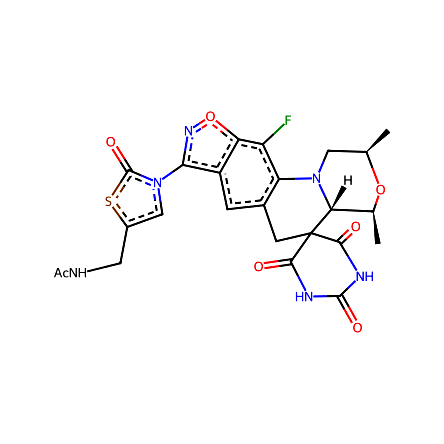 CC(=O)NCc1cn(-c2noc3c(F)c4c(cc23)CC2(C(=O)NC(=O)NC2=O)[C@H]2[C@H](C)O[C@H](C)CN42)c(=O)s1